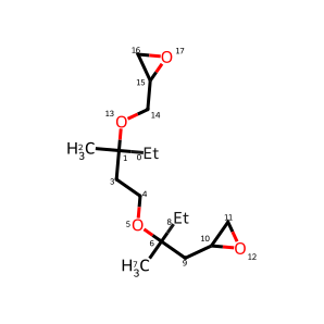 CCC(C)(CCOC(C)(CC)CC1CO1)OCC1CO1